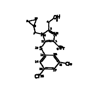 CC(C)c1nc(CO)n(CC2CC2)c1Sc1cc(Cl)cc(Cl)c1